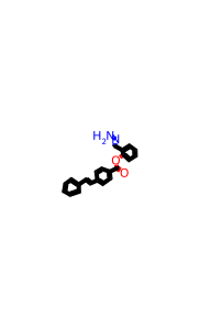 NN=Cc1ccccc1OC(=O)c1ccc(C=Cc2ccccc2)cc1